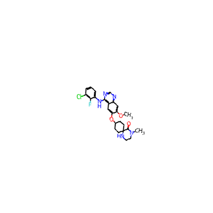 COc1cc2ncnc(Nc3cccc(Cl)c3F)c2cc1OC1CCC2(CC1)NCCN(C)C2=O